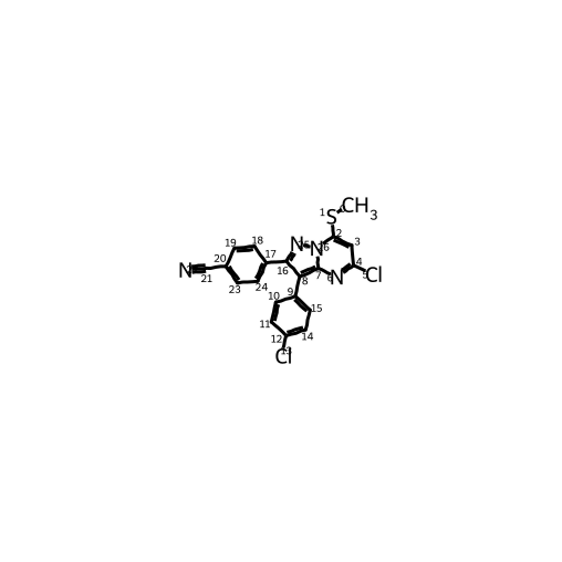 CSc1cc(Cl)nc2c(-c3ccc(Cl)cc3)c(-c3ccc(C#N)cc3)nn12